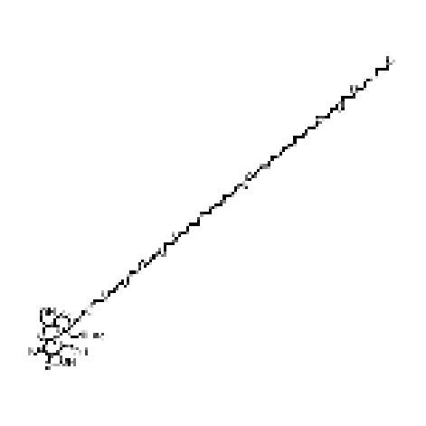 CC(=O)NC[C@H](OCCOCCOCCOCCOCCOCCOCCCCCCCCCCSSCCCCCCCCCCCOCCOCCOCCOCCO)OC(CO)[C@H](CO)O[C@@H]1OC(CO)[C@H](O)C(O)C1O